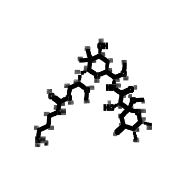 C=C1C[C@](OC)([C@H](O)C(=O)N[C@@H](OC)[C@@H]2C[C@@H](O)C(C)(C)[C@@H](C[C@@H](COC(=O)NCCCN)OC)O2)O[C@H](C)[C@@H]1C